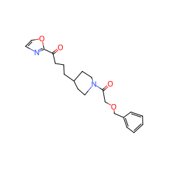 O=C(CCCC1CCN(C(=O)COCc2ccccc2)CC1)c1ncco1